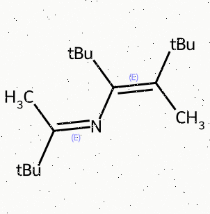 C/C(=N\C(=C(/C)C(C)(C)C)C(C)(C)C)C(C)(C)C